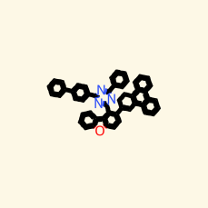 C1=C(c2ccc3oc4ccccc4c3c2-c2nc(-c3ccccc3)nc(-c3ccc(-c4ccccc4)cc3)n2)CCc2c1c1ccccc1c1ccccc21